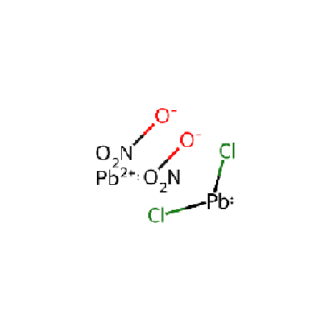 O=[N+]([O-])[O-].O=[N+]([O-])[O-].[Cl][Pb][Cl].[Pb+2]